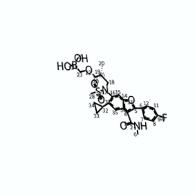 CNC(=O)c1c(-c2ccc(F)cc2)oc2cc(N(C[C@@H](C)COCB(O)O)S(C)(=O)=O)c(C3CC3)cc12